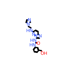 O=C(Nc1cccc(CO)c1)Nc1cnc2ccc(NCCn3ccnc3)nn12